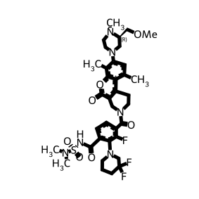 COC[C@H]1CN(c2cc(C)c3c4c(c(=O)oc3c2C)CN(C(=O)c2ccc(C(=O)NS(=O)(=O)N(C)C)c(N3CCCC(F)(F)C3)c2F)CC4)CCN1C